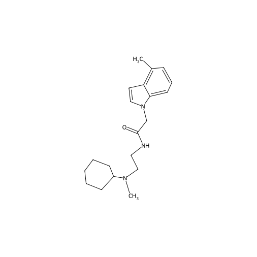 Cc1cccc2c1ccn2CC(=O)NCCN(C)C1CCCCC1